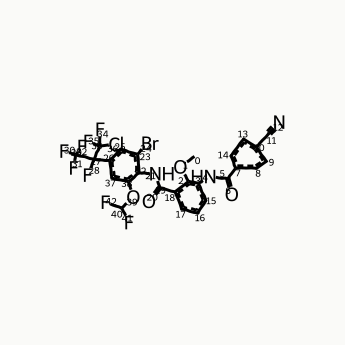 COc1c(NC(=O)c2ccc(C#N)cc2)cccc1C(=O)Nc1c(Br)cc(C(F)(C(F)(F)F)C(F)(F)Cl)cc1OC(F)F